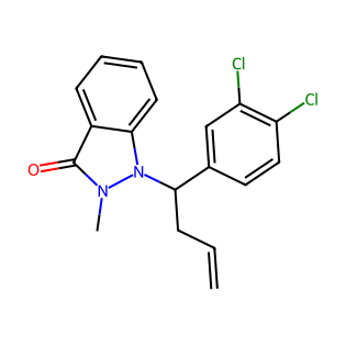 C=CCC(c1ccc(Cl)c(Cl)c1)n1c2ccccc2c(=O)n1C